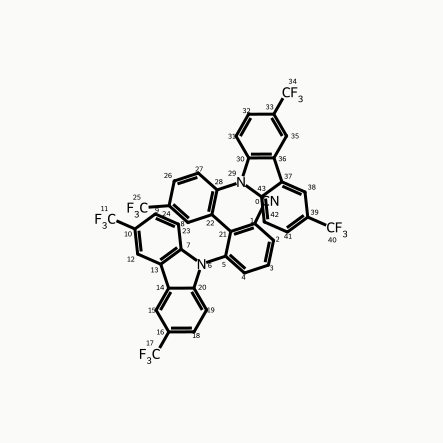 N#Cc1cccc(-n2c3ccc(C(F)(F)F)cc3c3cc(C(F)(F)F)ccc32)c1-c1cc(C(F)(F)F)ccc1-n1c2ccc(C(F)(F)F)cc2c2cc(C(F)(F)F)ccc21